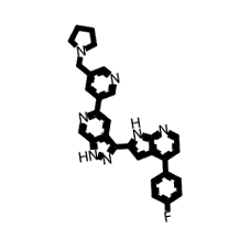 Fc1ccc(-c2ccnc3[nH]c(-c4n[nH]c5cnc(-c6cncc(CN7CCCC7)c6)cc45)cc23)cc1